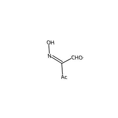 CC(=O)C([C]=O)=NO